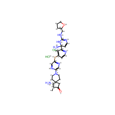 C[C@@H]1C(=O)CC2(CCN(c3cnc(Sc4ccnc(C5(N)C=CN=C(NC[C@H]6CCCO6)N5)c4Cl)cn3)CC2)[C@H]1N.Cl